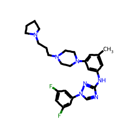 Cc1cc(Nc2ncn(-c3cc(F)cc(F)c3)n2)cc(N2CCN(CCCN3CCCC3)CC2)c1